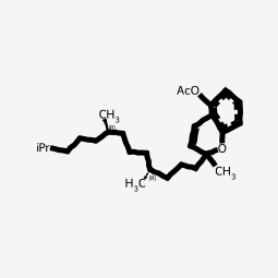 CC(=O)Oc1cccc2c1C=CC(C)(CCC[C@H](C)CCC[C@H](C)CCCC(C)C)O2